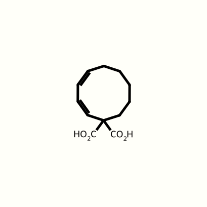 O=C(O)C1(C(=O)O)C=CC=CCCCCC1